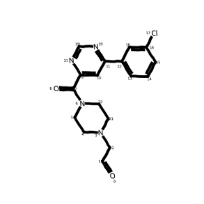 O=CCN1CCN(C(=O)c2cc(-c3cccc(Cl)c3)ncn2)CC1